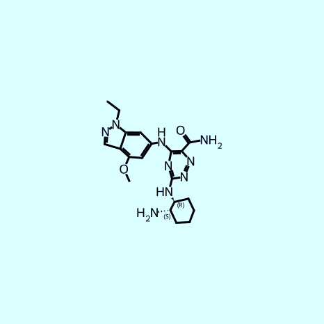 CCn1ncc2c(OC)cc(Nc3nc(N[C@@H]4CCCC[C@@H]4N)nnc3C(N)=O)cc21